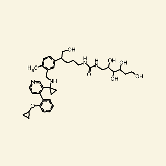 Cc1ccc(C(CO)CCCNC(=O)NCC(O)C(O)C(O)CCO)cc1CNC1(c2cnccc2-c2ccccc2OC2CC2)CC1